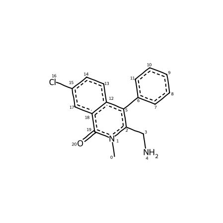 Cn1c(CN)c(-c2ccccc2)c2ccc(Cl)cc2c1=O